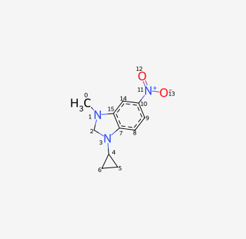 CN1CN(C2CC2)c2ccc([N+](=O)[O-])cc21